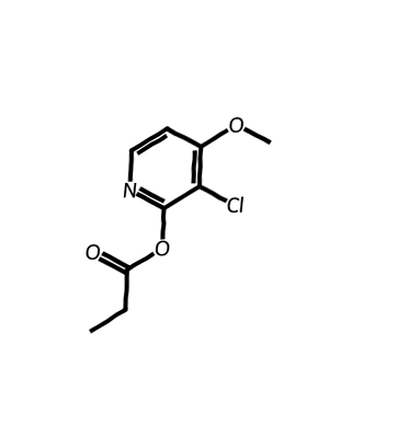 CCC(=O)Oc1nccc(OC)c1Cl